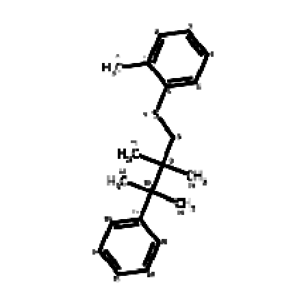 Cc1ccccc1SCC(C)(C)C(C)(C)c1ccccc1